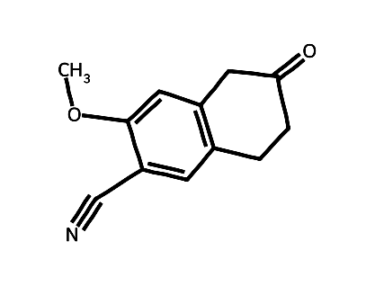 COc1cc2c(cc1C#N)CCC(=O)C2